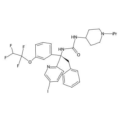 CC(C)N1CCC(NC(=O)N[C@@](Cc2ccccc2)(c2cccc(OC(F)(F)C(F)F)c2)c2ccc(I)cn2)CC1